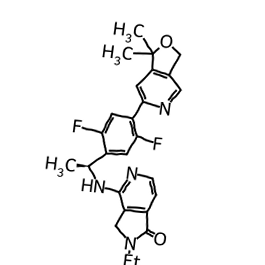 CCN1Cc2c(ccnc2N[C@@H](C)c2cc(F)c(-c3cc4c(cn3)COC4(C)C)cc2F)C1=O